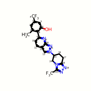 Cc1cc(C(F)(F)F)cc(O)c1-c1ccc2cn(C3CCc4nnc(C(F)(F)F)n4C3)nc2n1